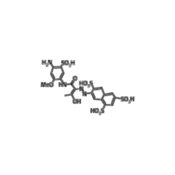 COc1cc(N)c(S(=O)(=O)O)cc1NC(=O)C(N=Nc1cc2c(S(=O)(=O)O)cc(S(=O)(=O)O)cc2cc1S(=O)(=O)O)=C(C)O